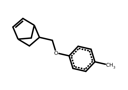 Cc1ccc(OCC2CC3C=CC2C3)cc1